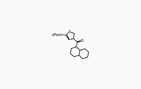 CCCCCC1=CC(C(=O)N2CCCC3CCCCC32)CS1